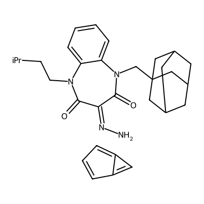 CC(C)CCn1c(=O)c(=NN)c(=O)n(CC23CC4CC(CC(C4)C2)C3)c2ccccc21.c1cc2cc-2c1